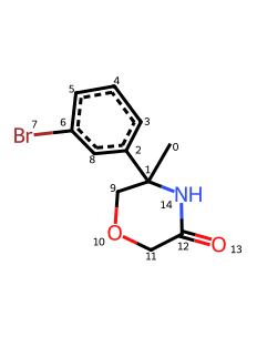 CC1(c2cccc(Br)c2)COCC(=O)N1